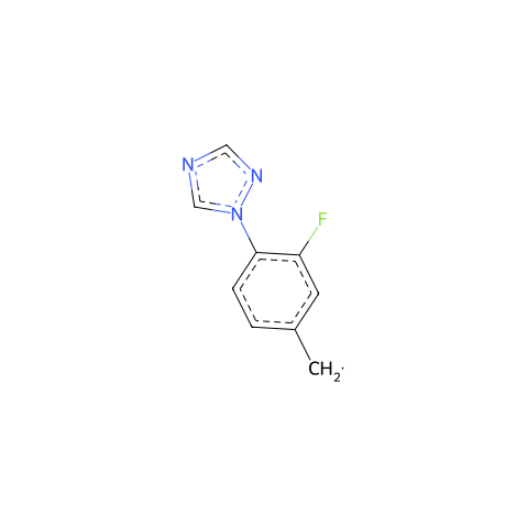 [CH2]c1ccc(-n2cncn2)c(F)c1